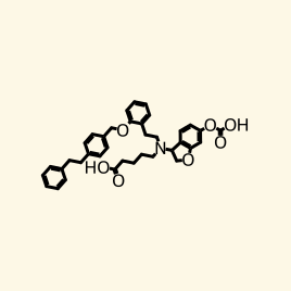 O=C(O)CCCCN(CCc1ccccc1OCc1ccc(CCc2ccccc2)cc1)C1COc2cc(OC(=O)O)ccc21